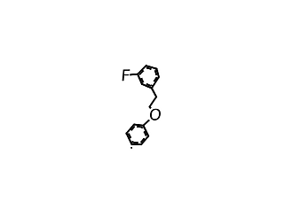 Fc1cccc(CCOc2cc[c]cc2)c1